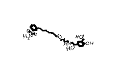 NS(=O)(=O)c1cccc(CCCCCCOCCCCNC[C@H](O)c2ccc(O)c(CO)c2)c1